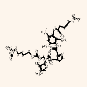 Cc1cc(C)c(OC(=O)CCCO[N+](=O)[O-])c(C)c1NC(=O)c1sccc1S(=O)(=O)N(COC(=O)OCCCCO[N+](=O)[O-])c1onc(C)c1Cl